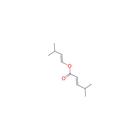 CC(C)C=COC(=O)C=CC(C)C